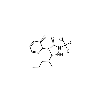 CCCC(C)C1NN(C(Cl)(Cl)Cl)C(=O)N1C1C=CC=CC1=S